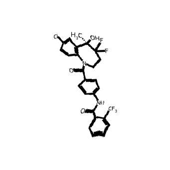 C[C@@]1(O)c2cc(Cl)ccc2N(C(=O)c2ccc(NC(=O)c3ccccc3C(F)(F)F)cc2)CCC1(F)F